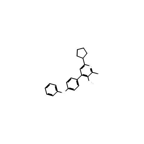 N#Cc1c(-c2ccc(Oc3ccccc3)cc2)cc(C2CCCC2)nc1I